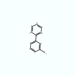 Fc1cccc(-c2ncncn2)c1